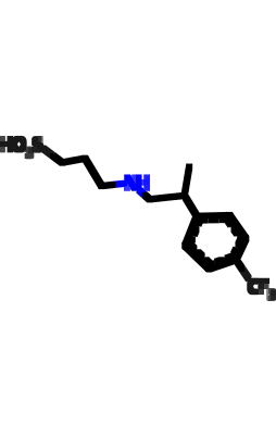 CC(CNCCCS(=O)(=O)O)c1ccc(C(F)(F)F)cc1